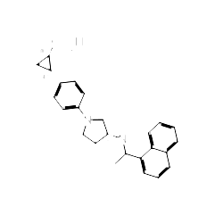 CC(N[C@H]1CCN(c2ccc([C@@H]3C[C@H]3C(=O)O)cc2)C1)c1cccc2ccccc12